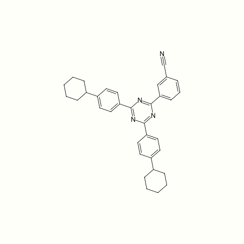 N#Cc1cccc(-c2nc(-c3ccc(C4CCCCC4)cc3)nc(-c3ccc(C4CCCCC4)cc3)n2)c1